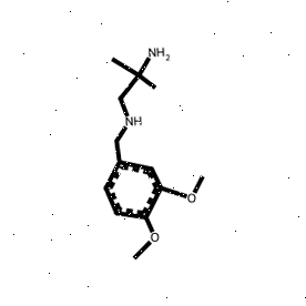 COc1ccc(CNCC(C)(C)N)cc1OC